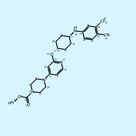 CCCOC(=O)N1CCN(c2ccnc(O[C@H]3CC[C@H](Nc4ccc(C#N)c(C(F)(F)F)c4)CC3)c2)CC1